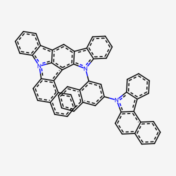 c1ccc2c(-n3c4ccccc4c4cc5c6ccccc6n6c7ccc8ccccc8c7c(c43)c56)cc(-n3c4ccccc4c4c5ccccc5ccc43)cc2c1